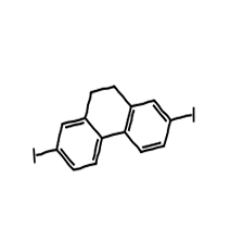 Ic1ccc2c(c1)CCc1cc(I)ccc1-2